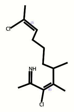 CC(=N)/C(Cl)=C(/C)C(C)CCC/C=C(/C)Cl